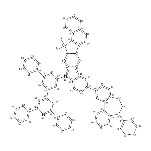 CC1(C)c2cc3c(cc2-c2ccc4ccccc4c21)c1cc(-c2ccc4c(c2)-c2ccccc2C(C2=CCCC=C2)CC4)ccc1n3-c1cc(-c2ccccc2)cc(-c2nc(-c3ccccc3)nc(-c3ccccc3)n2)c1